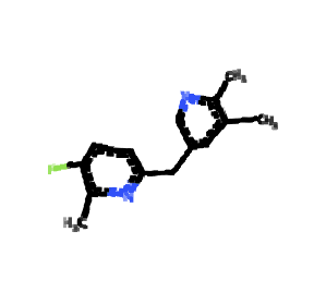 Cc1cc(Cc2ccc(F)c(C)n2)cnc1C